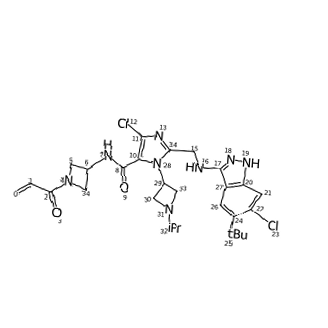 C=CC(=O)N1CC(NC(=O)c2c(Cl)nc(CNc3n[nH]c4cc(Cl)c(C(C)(C)C)cc34)n2C2CN(C(C)C)C2)C1